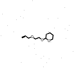 C=CCOCCOC1CCCCO1